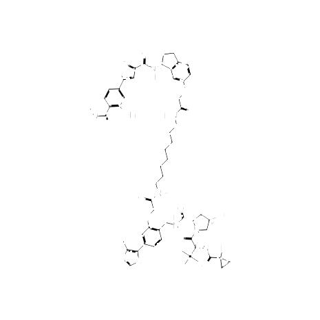 Cc1ncsc1-c1ccc(CNC(=O)[C@@H]2C[C@@H](O)CN2C(=O)[C@@H](NC(=O)C2(F)CC2)C(C)(C)C)c(OCC(=O)NCCCCCCCCNC(=O)COc2ccc3c(c2)[C@H](NC(=O)c2cc(-c4ccc(C(=O)N(C)C)c(O)c4)on2)CC3)c1